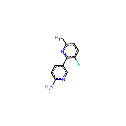 Cc1ccc(F)c(-c2ccc(N)nc2)n1